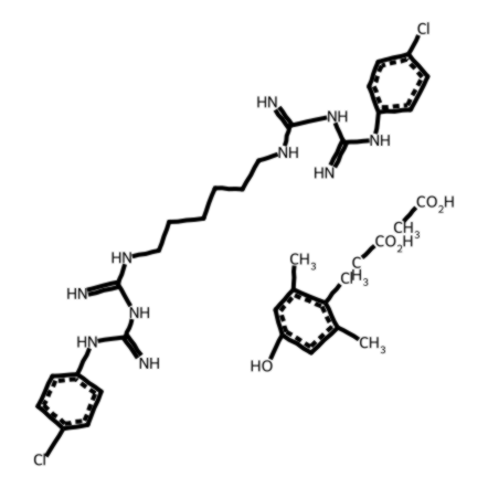 CC(=O)O.CC(=O)O.Cc1cc(O)cc(C)c1Cl.N=C(NCCCCCCNC(=N)NC(=N)Nc1ccc(Cl)cc1)NC(=N)Nc1ccc(Cl)cc1